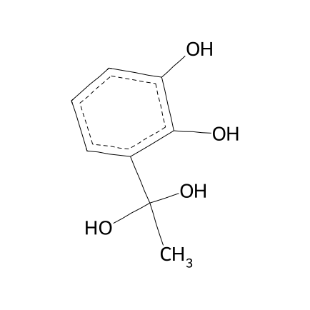 CC(O)(O)c1cccc(O)c1O